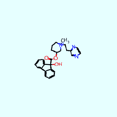 C[N+]1(CCc2cnccn2)CCCC(OC(=O)C2(O)c3ccccc3-c3ccccc32)C1